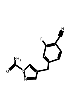 N#Cc1ccc([CH]c2cnn(C(N)=O)c2)cc1F